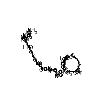 CO[C@H]1C[C@@H]2CC[C@@H](C)[C@@](O)(O2)C(=O)C(=O)N2CCCC[C@H]2C(=O)O[C@H]([C@H](N)C[C@@H]2CC[C@H](n3nncc3-c3cccc(-c4cnc(N5CCN(C(=O)CCc6cn(CCOCCOCCOCCC(=O)NCCCCn7nc(-c8ccc9oc(N)nc9c8)c8c(N)ncnc87)nn6)CC5)nc4)c3)[C@H](OC)C2)CC(=O)[C@H](C)/C=C(\C)[C@@H](O)[C@@H](O)C(=O)[C@H](C)C[C@H](C)/C=C/C=C/C=C/1C